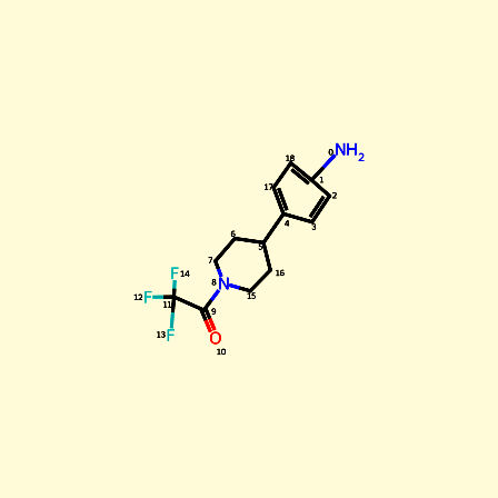 Nc1ccc(C2CCN(C(=O)C(F)(F)F)CC2)cc1